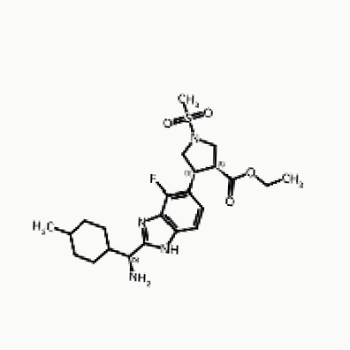 CCOC(=O)[C@@H]1CN(S(C)(=O)=O)C[C@@H]1c1ccc2[nH]c([C@@H](N)C3CCC(C)CC3)nc2c1F